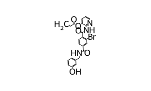 C=CC(=O)Oc1cccnc1NC(=O)c1ccc(C(=O)NCc2cccc(O)c2)cc1Br